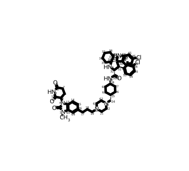 Cn1c(=O)n(C2CCC(=O)NC2=O)c2ccc(CCCN3CCN(C[C@H]4CC[C@H](NC(=O)[C@@H]5NC6(CCCCC6)[C@@]6(C(=O)Nc7cc(Cl)ccc76)[C@H]5c5cccc(Cl)c5F)CC4)CC3)cc21